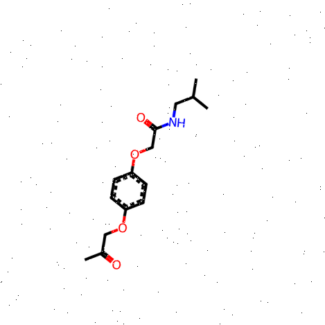 CC(=O)COc1ccc(OCC(=O)NCC(C)C)cc1